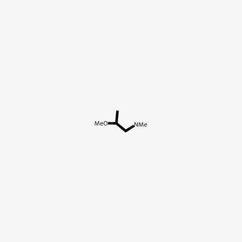 CNCC(C)OC